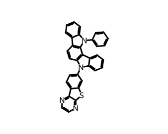 c1ccc(-n2c3ccccc3c3ccc4c(c5ccccc5n4-c4ccc5c(c4)sc4nccnc45)c32)cc1